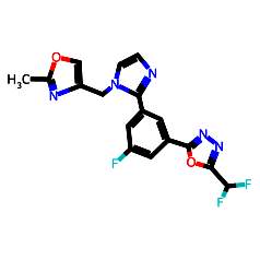 Cc1nc(Cn2ccnc2-c2cc(F)cc(-c3nnc(C(F)F)o3)c2)co1